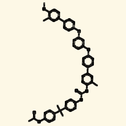 COc1ccc(-c2ccc(Oc3cccc(Oc4ccc(-c5ccc(OC(=O)Oc6ccc(C(C)(C)c7ccc(OC(C)=O)cc7)cc6)c(C)c5)cc4)c3)cc2)cc1C